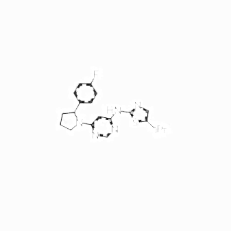 CC(C)c1cnc(Nc2cc(N3CCCC3c3ccc(F)cc3)ncn2)s1